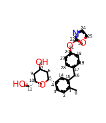 Cc1ccc([C@H]2CC(O)C[C@@H](CO)O2)cc1Cc1ccc(Oc2ncco2)cc1